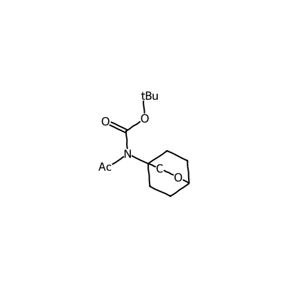 CC(=O)N(C(=O)OC(C)(C)C)C12CCC(CC1)OC2